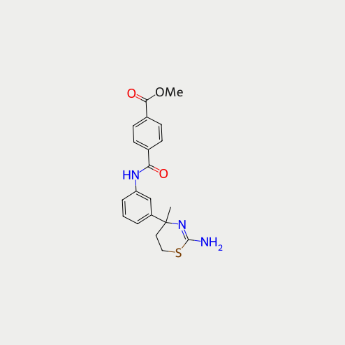 COC(=O)c1ccc(C(=O)Nc2cccc(C3(C)CCSC(N)=N3)c2)cc1